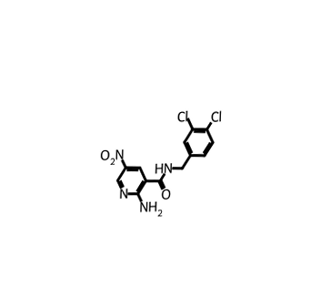 Nc1ncc([N+](=O)[O-])cc1C(=O)NCc1ccc(Cl)c(Cl)c1